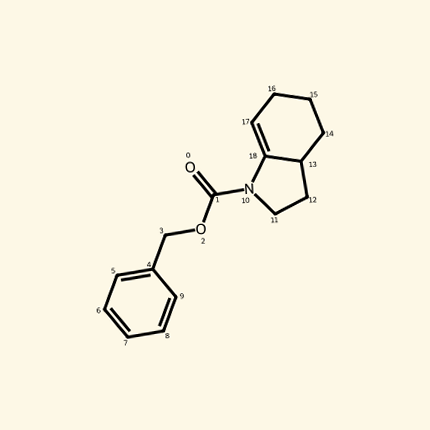 O=C(OCc1ccccc1)N1CCC2CCCC=C21